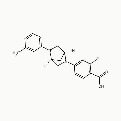 Cc1cccc(N2C[C@@H]3C[C@H]2CN3c2ccc(C(=O)O)c(F)c2)c1